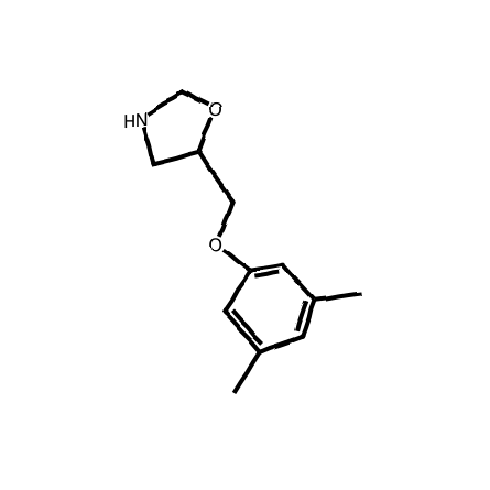 Cc1cc(C)cc(OCC2CNCO2)c1